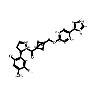 Cc1cc(F)c(C2CC=NN2C(=O)C23CC(COc4cnc(-c5c[nH]cn5)cn4)(C2)C3)cc1F